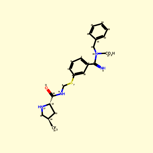 N=C(c1cccc(SCNC(=O)[C@@H]2C[C@@H](C(F)(F)F)CN2)c1)N(Cc1ccccc1)C(=O)O